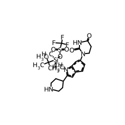 CC(C)(C)[Si](C)(C)OS(=O)(=O)C(F)(F)F.Cn1c(C2CCNCC2)cc2ccc(N3CCC(=O)NC3=O)cc21